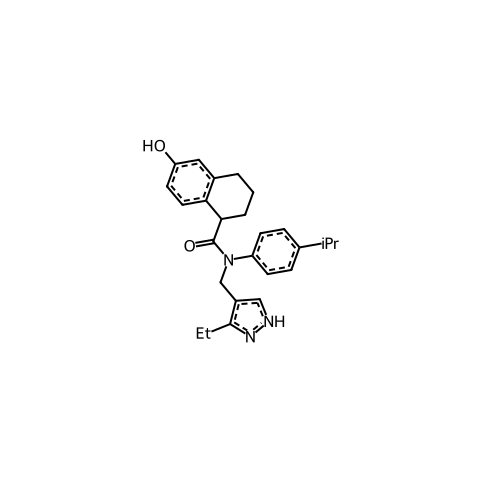 CCc1n[nH]cc1CN(C(=O)C1CCCc2cc(O)ccc21)c1ccc(C(C)C)cc1